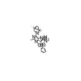 Cc1nc(N2C[C@@H](C)O[C@@H](C)C2)c2[nH]c(N)c(S(=O)(=O)c3ccccc3)c2n1